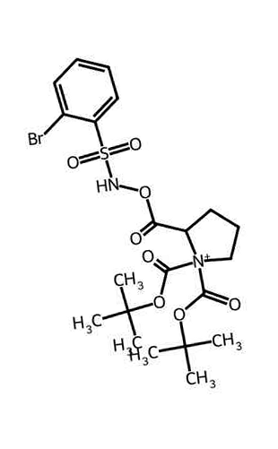 CC(C)(C)OC(=O)[N+]1(C(=O)OC(C)(C)C)CCCC1C(=O)ONS(=O)(=O)c1ccccc1Br